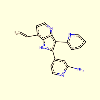 C=Cc1ccnc2c(-c3ccccn3)c(-c3ccnc(N)c3)[nH]c12